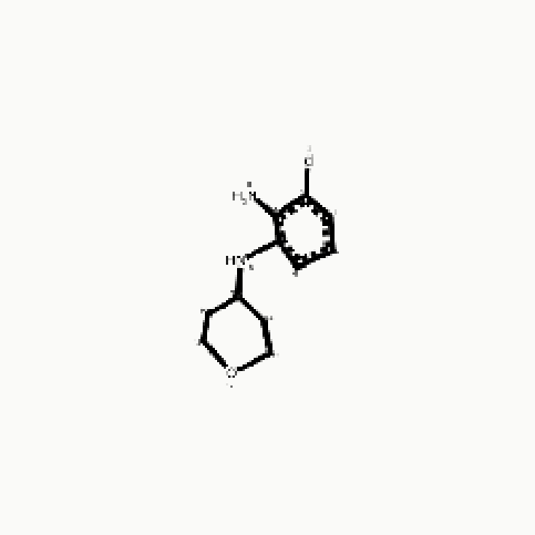 Nc1c(Cl)cccc1NC1CCOCC1